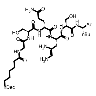 CCCCCCCCCCCCCCCC(=O)NCC(=O)N[C@@H](CO)C(=O)N[C@H](CCC(N)=O)C(=O)N[C@@H](C/C(N)=C/N)C(=O)N[C@@H](CO)C(=O)N[C@@H](CCCC)C(C)=O